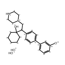 Cl.Cl.OC1(C(CN2CCNCC2)c2ccc(-c3cccc(Cl)c3)cc2)CCCCC1